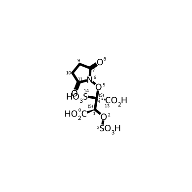 O=C(O)[C@H](OS(=O)(=O)O)[C@@](ON1C(=O)CCC1=O)(C(=O)O)S(=O)(=O)O